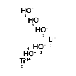 [Li+].[OH-].[OH-].[OH-].[OH-].[OH-].[Ti+4]